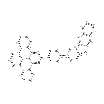 c1ccc(-c2nc(-c3ccc(-c4ccc5oc6nc7ccccc7cc6c5c4)cc3)cc(-c3ccccc3-c3cccnc3)n2)cc1